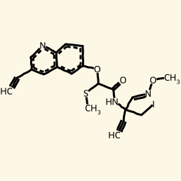 C#Cc1cnc2ccc(OC(SC)C(=O)NC(C#C)(C=NOC)CI)cc2c1